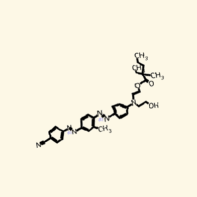 CCCC(C)(CC)C(=O)OCCN(CCO)c1ccc(/N=N/c2ccc(/N=N/c3ccc(C#N)cc3)cc2C)cc1